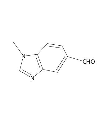 Cn1cnc2cc(C=O)ccc21